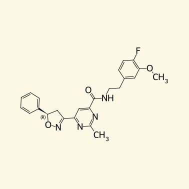 COc1cc(CCNC(=O)c2cc(C3=NO[C@@H](c4ccccc4)C3)nc(C)n2)ccc1F